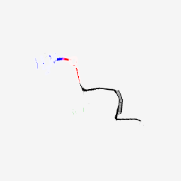 C/C=C/CON.Cl